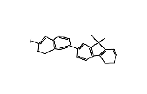 CC1(C)C2=C(CCC=C2)c2ccc(-c3ccc4c(c3)CCC(I)=C4)cc21